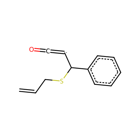 C=CCSC([C]=C=O)c1ccccc1